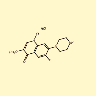 CCn1cc(C(=O)O)c(=O)c2cc(F)c(N3CCNCC3)cc21.Cl